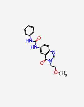 COCCn1cnc2ccc(NC(=O)Nc3ccccc3)cc2c1=O